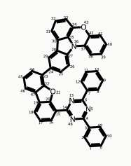 c1ccc(-c2nc(-c3ccccc3)nc(-c3cccc4c3oc3c(-c5ccc6c(c5)c5cccc7c5n6-c5ccccc5O7)cccc34)n2)cc1